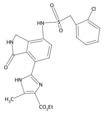 CCOC(=O)c1nc(-c2ccc(NS(=O)(=O)Cc3ccccc3Cl)c3c2C(=O)NC3)[nH]c1C